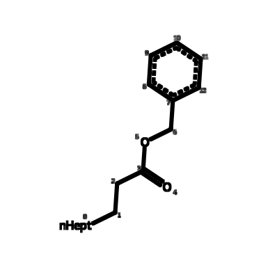 [CH2]CCCCCCCCC(=O)OCc1ccccc1